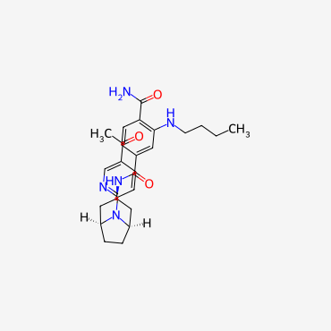 CCCCNc1cc(C(=O)N[C@H]2C[C@H]3CC[C@@H](C2)N3c2ccc(C(C)=O)cn2)ccc1C(N)=O